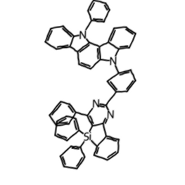 c1ccc(-c2nc(-c3cccc(-n4c5ccccc5c5c4ccc4c6ccccc6n(-c6ccccc6)c45)c3)nc3c2[Si](c2ccccc2)(c2ccccc2)c2ccccc2-3)cc1